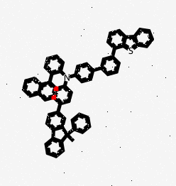 CC1(c2ccccc2)c2ccccc2-c2ccc(-c3ccc(N(c4ccc(-c5cccc(-c6cccc7c6sc6ccccc67)c5)cc4)c4ccccc4-c4cccc5ccccc45)cc3)cc21